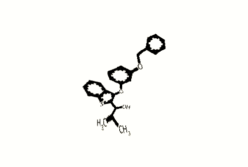 CC(C)C(O)c1sc2ccccc2c1Oc1cccc(OCc2ccccc2)c1